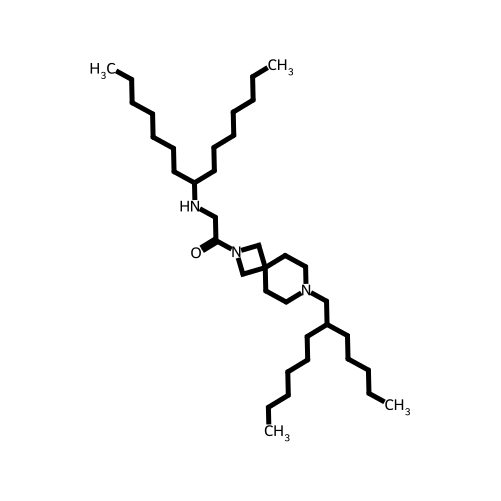 CCCCCCCC(CCCCCCC)NCC(=O)N1CC2(CCN(CC(CCCCC)CCCCCC)CC2)C1